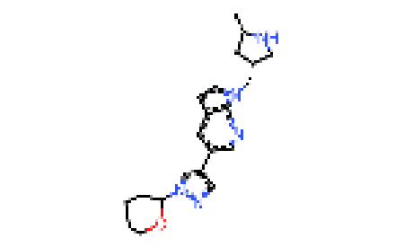 C[C@@H]1C[C@@H](Cn2ccc3cc(-c4cnn(C5CCCCO5)c4)cnc32)CN1